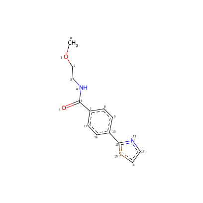 COCCNC(=O)c1ccc(-c2nccs2)cc1